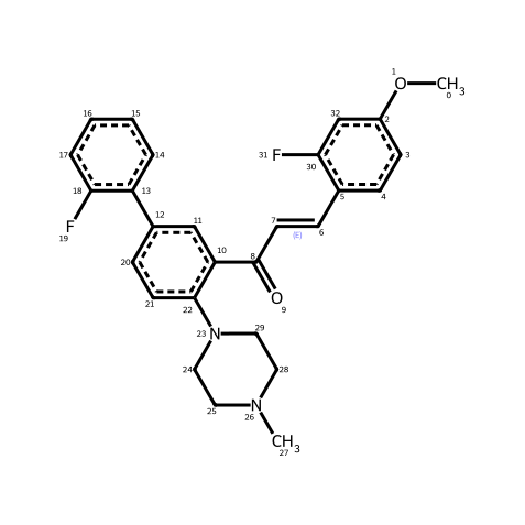 COc1ccc(/C=C/C(=O)c2cc(-c3ccccc3F)ccc2N2CCN(C)CC2)c(F)c1